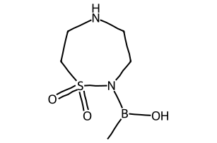 CB(O)N1CCNCCS1(=O)=O